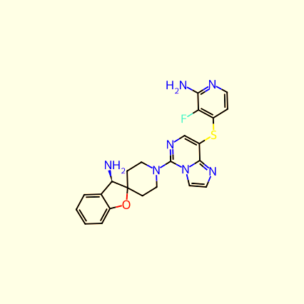 Nc1nccc(Sc2cnc(N3CCC4(CC3)Oc3ccccc3[C@H]4N)n3ccnc23)c1F